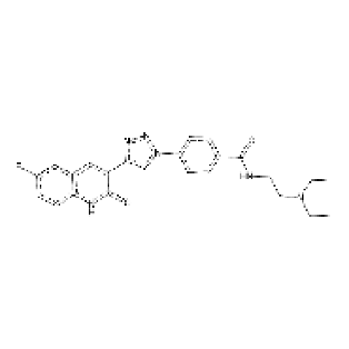 CCN(CC)CCNC(=O)c1ccc(-n2cc(-c3cc4cc(F)ccc4[nH]c3=O)nn2)cc1